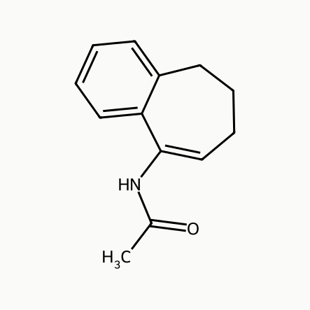 CC(=O)NC1=CCCCc2ccccc21